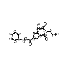 Cn1c(=O)n(CCF)c(=O)c2cc(C(=O)OCc3ccccc3)sc21